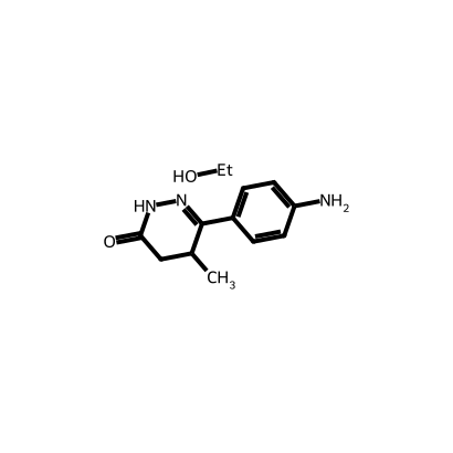 CC1CC(=O)NN=C1c1ccc(N)cc1.CCO